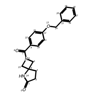 O=C1CCC2(CN(C(=O)c3ccc(OCc4ccccc4)cc3)C2)N1